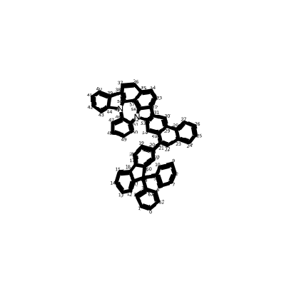 c1ccc(C2(c3ccccc3)c3ccccc3-c3ccc(-c4cc5ccccc5c5cc6c7ccc8ccc9c%10ccccc%10n%10c%11ccccc%11n(c6cc45)c7c8c9%10)cc32)cc1